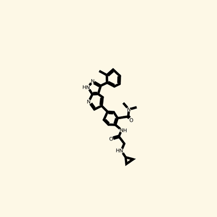 Cc1ccccc1-c1n[nH]c2ncc(-c3ccc(NC(=O)CNC4CC4)c(C(=O)N(C)C)c3)cc12